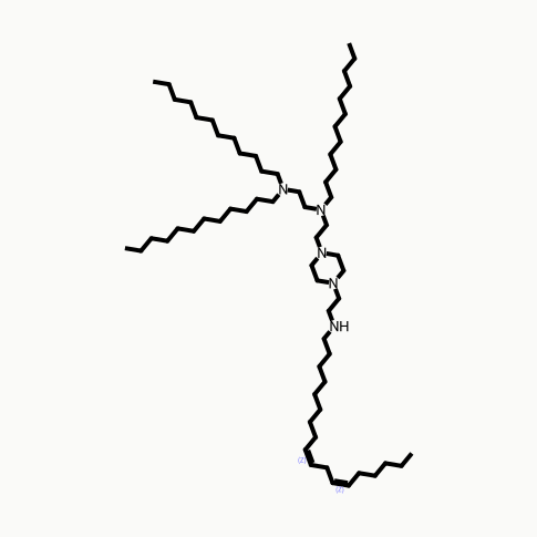 CCCCC/C=C\C/C=C\CCCCCCCCNCCN1CCN(CCN(CCCCCCCCCCCC)CCN(CCCCCCCCCCCC)CCCCCCCCCCCC)CC1